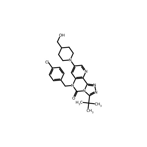 CC(C)(C)c1nnc2c3ncc(N4CCC(CO)CC4)cc3n(Cc3ccc(Cl)cc3)c(=O)n12